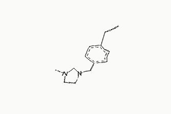 CCc1ccc(CN2CCN(C)C2)cc1